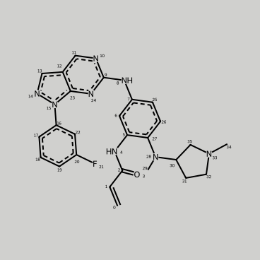 C=CC(=O)Nc1cc(Nc2ncc3cnn(-c4cccc(F)c4)c3n2)ccc1N(C)C1CCN(C)C1